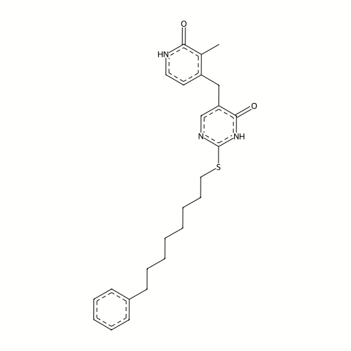 Cc1c(Cc2cnc(SCCCCCCCCc3ccccc3)[nH]c2=O)cc[nH]c1=O